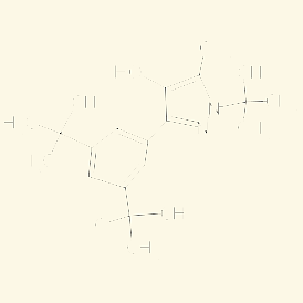 Cc1c(O)c(-c2cc(C(C)(C)C)cc(C(C)(C)C)c2)nn1C(C)(C)C